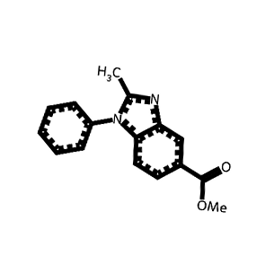 COC(=O)c1ccc2c(c1)nc(C)n2-c1ccccc1